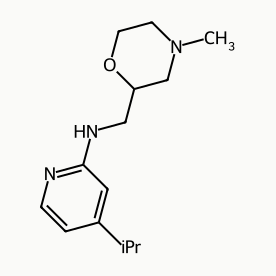 CC(C)c1ccnc(NCC2CN(C)CCO2)c1